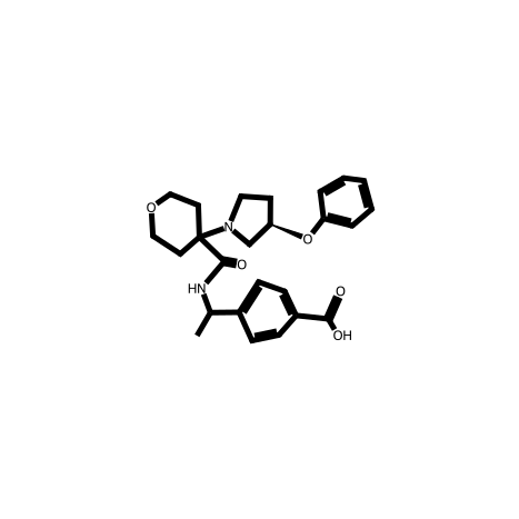 CC(NC(=O)C1(N2CC[C@@H](Oc3ccccc3)C2)CCOCC1)c1ccc(C(=O)O)cc1